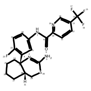 NC1=N[C@@]2(c3cc(NC(=O)c4ccc(C(F)(F)F)cn4)ccc3F)CCCC[C@H]2CS1